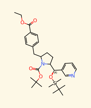 CCOC(=O)c1ccc(CC2CCC([C@H](O[Si](C)(C)C(C)(C)C)c3cccnc3)N2C(=O)OC(C)(C)C)cc1